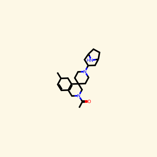 CC(=O)N1CC2=C(CC(C)C=C2)C2(CCN(C3CC4CCC(C3)N4)CC2)C1